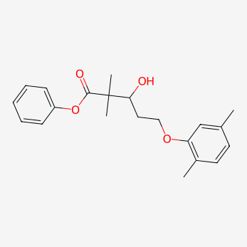 Cc1ccc(C)c(OCCC(O)C(C)(C)C(=O)Oc2ccccc2)c1